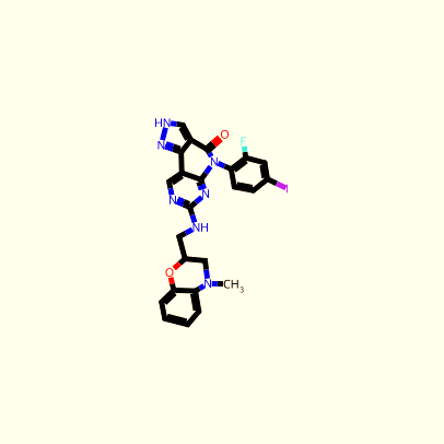 CN1CC(CNc2ncc3c4n[nH]cc4c(=O)n(-c4ccc(I)cc4F)c3n2)Oc2ccccc21